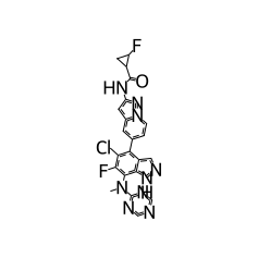 CN(c1ncncn1)c1c(F)c(Cl)c(-c2ccn3nc(NC(=O)C4CC4F)cc3c2)c2cn[nH]c12